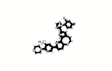 Cc1cc(-c2ccc3c(n2)-c2sc(-c4ncnn4-c4ccc(F)cc4F)cc2CCO3)cnc1N1CCOCC1